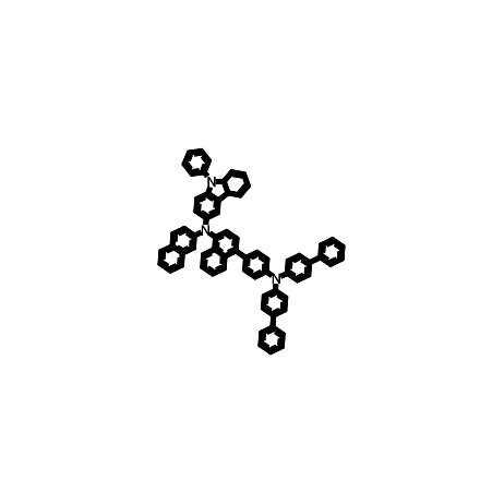 C1=CC2c3cc(N(c4ccc5ccccc5c4)c4ccc(-c5ccc(N(c6ccc(-c7ccccc7)cc6)c6ccc(-c7ccccc7)cc6)cc5)c5ccccc45)ccc3N(c3ccccc3)C2C=C1